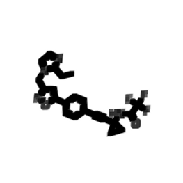 CCc1nccn1Cc1cc(-c2ccc(C#CC3(NC(=O)C(F)(F)F)CC3)cc2)on1